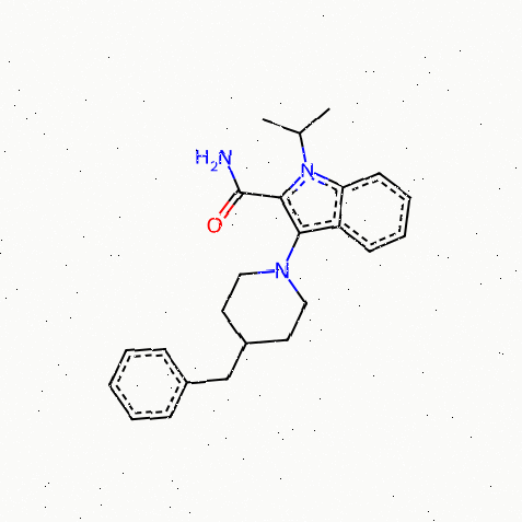 CC(C)n1c(C(N)=O)c(N2CCC(Cc3ccccc3)CC2)c2ccccc21